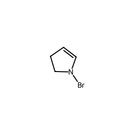 BrN1C=CCC1